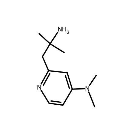 CN(C)c1ccnc(CC(C)(C)N)c1